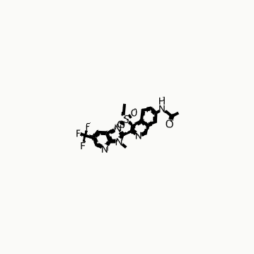 CCS(=O)(=O)c1c(-c2nc3cc(C(F)(F)F)cnc3n2C)ncc2cc(NC(C)=O)ccc12